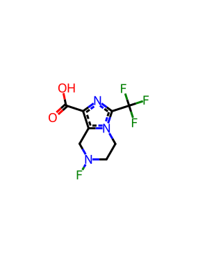 O=C(O)c1nc(C(F)(F)F)n2c1CN(F)CC2